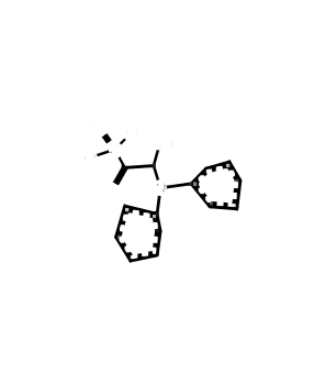 CC(C)C(C(=O)P(=O)(O)O)N(c1ccccc1)c1ccccc1